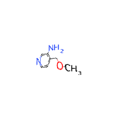 COCc1ccncc1N